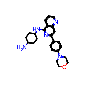 NC1CCC(Nc2nc(-c3ccc(N4CCOCC4)cc3)cc3ncccc23)CC1